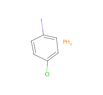 Clc1ccc(I)cc1.P